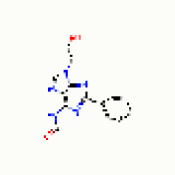 O=[C]Nc1nc(-c2ccccc2)nc2c1ncn2CCO